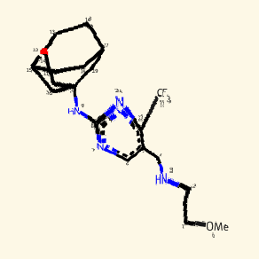 COCCNCc1cnc(NC23CCC4CC(CC(C4)C2)C3)nc1C(F)(F)F